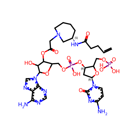 C=CCCC(=O)N[C@H]1CCCCN(CC(=O)OC2C(COP(=O)(O)O[C@@H]3C[C@H](n4ccc(N)nc4=O)OC3COP(=O)(O)O)OC(n3cnc4c(N)ncnc43)C2O)C1